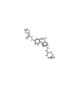 CCOC(=O)CCc1ccc(-c2csc(CCC3CCNCC3)n2)cc1.Cl